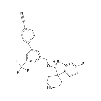 Bc1cc(F)ccc1C1(COCc2cc(-c3ccc(C#N)cc3)cc(C(F)(F)F)c2)CCNCC1